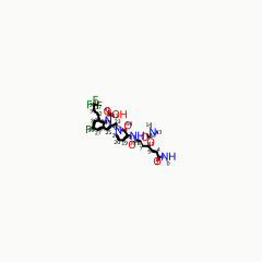 CNC(=O)/C=C/CC[C@H](OC(=O)N(C)C)C(=O)Nc1cccn(Cc2cc3cc(F)cc(CCC(F)(F)F)c3n2C(=O)O)c1=O